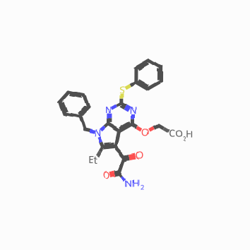 CCc1c(C(=O)C(N)=O)c2c(OCC(=O)O)nc(Sc3ccccc3)nc2n1Cc1ccccc1